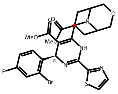 COC(=O)C1=C(CN2C3COCC2CC(C(=O)OC)C3)NC(c2nccs2)=N[C@H]1c1ccc(F)cc1Br